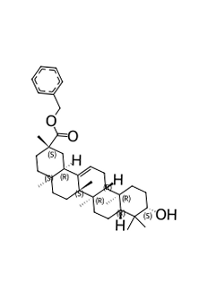 CC1(C)[C@@H](O)CC[C@]2(C)[C@H]3CC=C4[C@@H]5C[C@@](C)(C(=O)OCc6ccccc6)CC[C@]5(C)CC[C@@]4(C)[C@]3(C)CC[C@@H]12